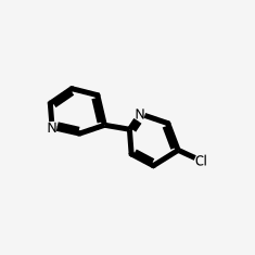 Clc1ccc(-c2cccnc2)nc1